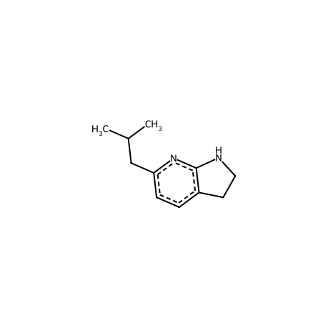 CC(C)Cc1ccc2c(n1)NCC2